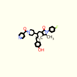 CC1=C(CC(CCc2ccc(O)cc2)C2CCN(C(=O)c3ccncc3)CC2)C(=O)N(c2ccc(F)cc2)C1C